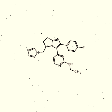 CCNc1nccc(-c2c(-c3ccc(F)cc3)nc3n2C(Cn2ccnc2)CC3)n1